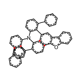 c1ccc(-c2ccccc2N(c2cccc(-c3ccccc3)c2-c2ccc3oc4ccccc4c3c2)c2cccc3c2sc2ccccc23)cc1